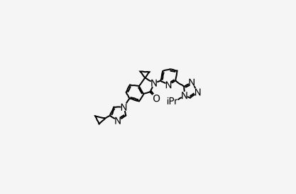 CC(C)n1cnnc1-c1cccc(N2C(=O)c3cc(-n4cnc(C5CC5)c4)ccc3C23CC3)n1